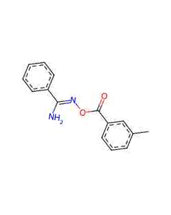 Cc1cccc(C(=O)O/N=C(\N)c2ccccc2)c1